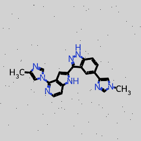 Cc1cn(-c2nccc3[nH]c(-c4n[nH]c5ccc(-c6cn(C)cn6)cc45)cc23)cn1